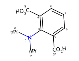 CCCN(CCC)c1c(C(=O)O)cccc1C(=O)O